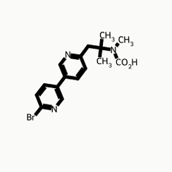 CN(C(=O)O)C(C)(C)Cc1ccc(-c2ccc(Br)nc2)cn1